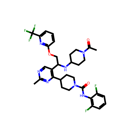 CC(=O)N1CCC(NC(COc2cccc(C(F)(F)F)n2)c2cnc(C)nc2C2CCN(C(=O)Nc3c(F)cccc3F)CC2)CC1